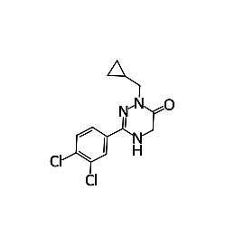 O=C1CNC(c2ccc(Cl)c(Cl)c2)=NN1CC1CC1